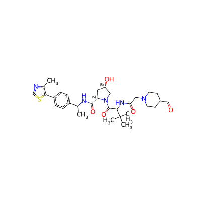 Cc1ncsc1-c1ccc(C(C)NC(=O)[C@@H]2C[C@@H](O)CN2C(=O)C(NC(=O)CN2CCC(C=O)CC2)C(C)(C)C)cc1